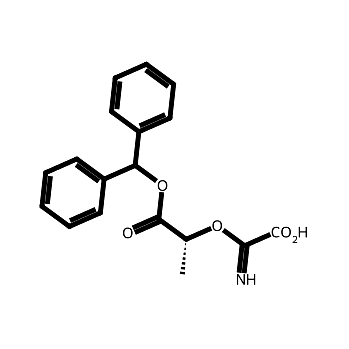 C[C@@H](OC(=N)C(=O)O)C(=O)OC(c1ccccc1)c1ccccc1